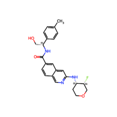 Cc1ccc([C@@H](CO)NC(=O)c2ccc3cnc(N[C@H]4CCOC[C@H]4F)cc3c2)cc1